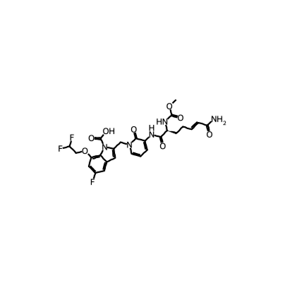 COC(=O)N[C@@H](CC/C=C/C(N)=O)C(=O)Nc1cccn(Cc2cc3cc(F)cc(OCC(F)F)c3n2C(=O)O)c1=O